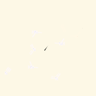 CC[C@@H](Nc1nc(Nc2cnc(C)c(C)c2)c(C#N)cc1F)[C@H](C)NC(=O)OC(C)(C)C